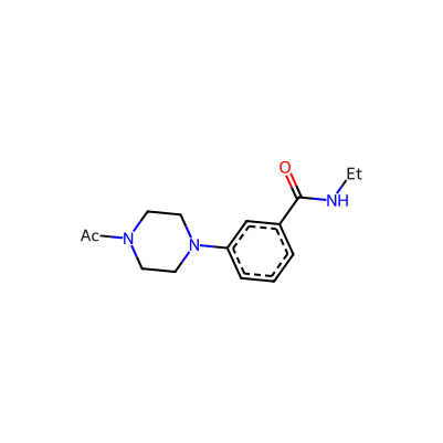 CCNC(=O)c1cccc(N2CCN(C(C)=O)CC2)c1